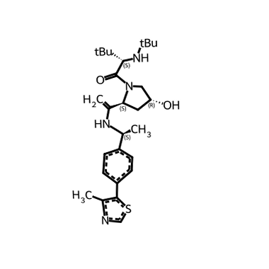 C=C(N[C@@H](C)c1ccc(-c2scnc2C)cc1)[C@@H]1C[C@@H](O)CN1C(=O)[C@@H](NC(C)(C)C)C(C)(C)C